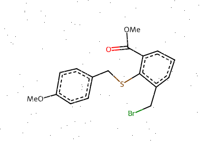 COC(=O)c1cccc(CBr)c1SCc1ccc(OC)cc1